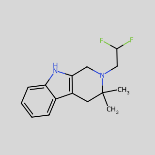 CC1(C)Cc2c([nH]c3ccccc23)CN1CC(F)F